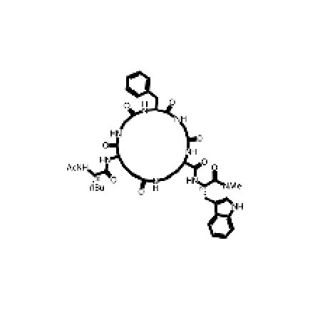 CCCC[C@H](NC(C)=O)C(=O)NC1CCC(=O)NCCC(C(=O)N[C@@H](Cc2c[nH]c3ccccc23)C(=O)NC)NC(=O)CNC(=O)C(Cc2ccccc2)NC(=O)CNC1=O